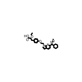 CCOC(Cc1ccc(OCCn2ccc3ccc(C(=NOC)C4CCCCC4)nc32)cc1)C(=O)O